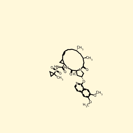 COc1cc2ccnc(O[C@@H]3C[C@H]4C(=O)N[C@]5(C(=O)NS(=O)(=O)C6(C)CC6)CC5/C=C\CC[C@H](C)C[C@@H](C)CC(=O)N4C3)c2cc1OC